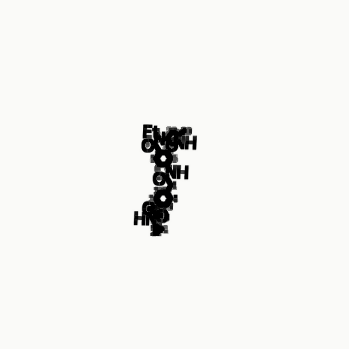 CCN(C(=O)c1ccc(NC(=O)Cc2ccc(S(=O)(=O)NC3CC3)cc2)cc1)C1CC(C)NO1